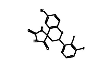 O=C1NC(=O)C2(CC(c3cccc(F)c3F)Oc3ccc(Br)cc32)N1